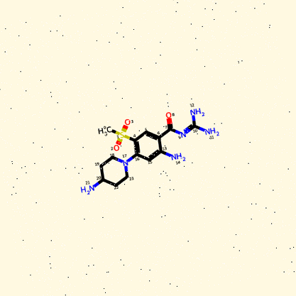 CS(=O)(=O)c1cc(C(=O)N=C(N)N)c(N)cc1N1CCC(N)CC1